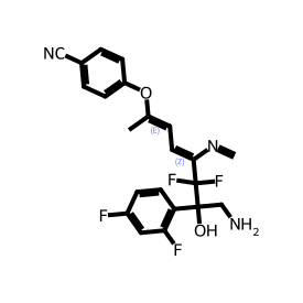 C=N/C(=C\C=C(/C)Oc1ccc(C#N)cc1)C(F)(F)C(O)(CN)c1ccc(F)cc1F